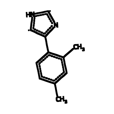 Cc1ccc(-c2[c][nH][c]n2)c(C)c1